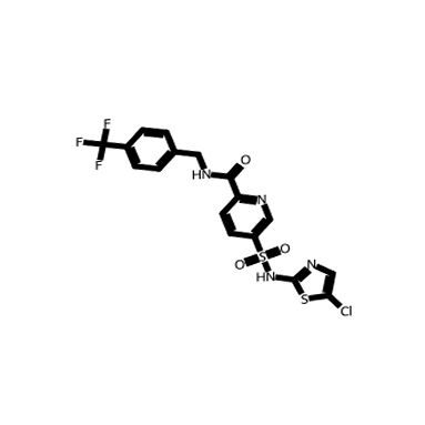 O=C(NCc1ccc(C(F)(F)F)cc1)c1ccc(S(=O)(=O)Nc2ncc(Cl)s2)cn1